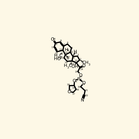 C[C@@H]1C[C@H]2[C@@H]3CCC4=CC(=O)C=C[C@]4(C)[C@@]3(F)[C@@H](O)C[C@]2(C)[C@@]1(O)C(=O)COP(OCCC#N)OC1CCOC1